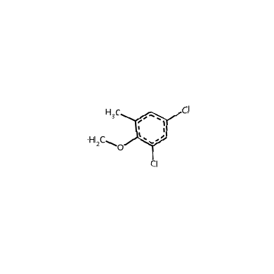 [CH2]Oc1c(C)cc(Cl)cc1Cl